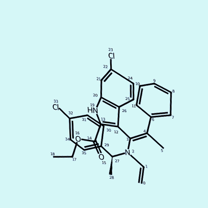 C=CN(/C(=C(\C)c1ccccc1)c1c(C(=O)OCC)[nH]c2cc(Cl)ccc12)[C@@H](C)c1ccc(Cl)cc1